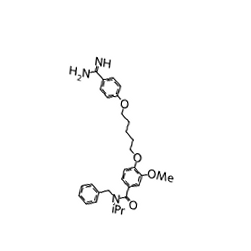 COc1cc(C(=O)N(Cc2ccccc2)C(C)C)ccc1OCCCCCOc1ccc(C(=N)N)cc1